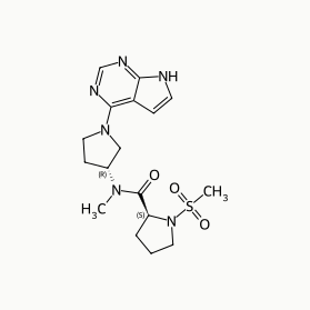 CN(C(=O)[C@@H]1CCCN1S(C)(=O)=O)[C@@H]1CCN(c2ncnc3[nH]ccc23)C1